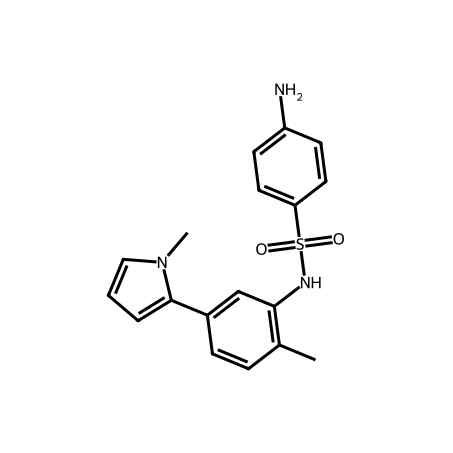 Cc1ccc(-c2cccn2C)cc1NS(=O)(=O)c1ccc(N)cc1